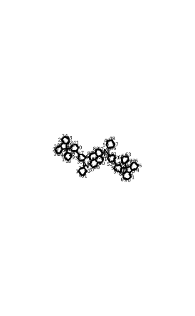 c1ccc(N(c2ccc(-c3cccc(C4(c5ccccc5)c5ccccc5-c5ccccc54)c3)cc2)c2ccc3ccc4c(N(c5ccccc5)c5ccc(-c6cccc(C7(c8ccccc8)c8ccccc8-c8ccccc87)c6)cc5)ccc5ccc2c3c54)cc1